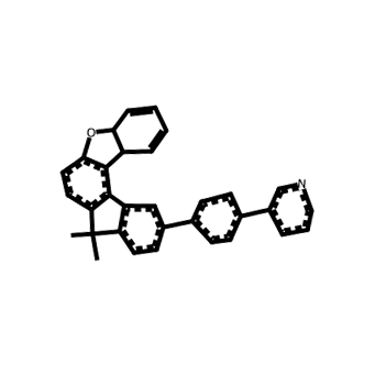 CC1(C)c2ccc(-c3ccc(-c4cccnc4)cc3)cc2-c2c1ccc1c2C2C=CC=CC2O1